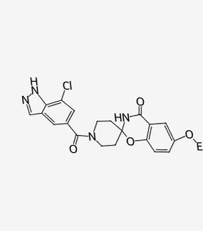 CCOc1ccc2c(c1)C(=O)NC1(CCN(C(=O)c3cc(Cl)c4[nH]ncc4c3)CC1)O2